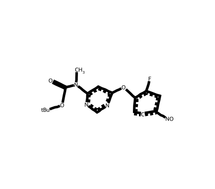 CN(C(=O)OC(C)(C)C)c1cc(Oc2ccc(N=O)cc2F)ncn1